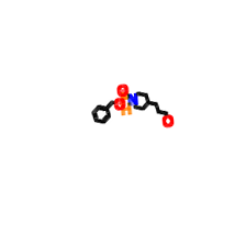 O=CCCC1CCN([PH](=O)OCc2ccccc2)CC1